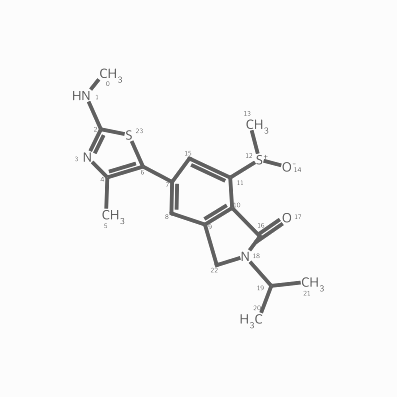 CNc1nc(C)c(-c2cc3c(c([S+](C)[O-])c2)C(=O)N(C(C)C)C3)s1